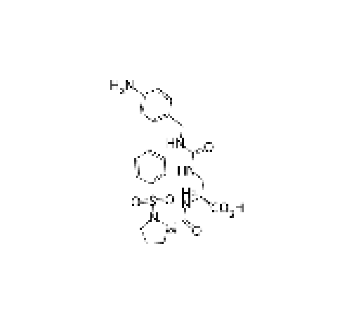 Nc1ccc(CNC(=O)NC[C@H](NC(=O)[C@@H]2CCCN2S(=O)(=O)c2ccccc2)C(=O)O)cc1